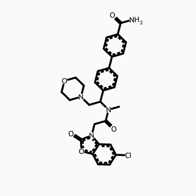 CN(C(=O)Cn1c(=O)oc2ccc(Cl)cc21)C(CN1CCOCC1)c1ccc(-c2ccc(C(N)=O)cc2)cc1